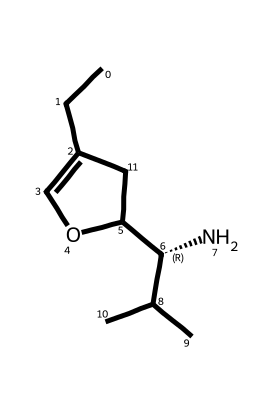 CCC1=COC([C@H](N)C(C)C)C1